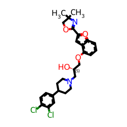 CC1(C)COC(c2cc3c(OC[C@@H](O)CN4CCC(c5ccc(Cl)c(Cl)c5)CC4)cccc3o2)=N1